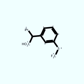 CC(C)C(C(=O)O)c1cccc(SC(F)(F)F)c1